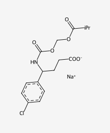 CC(C)C(=O)OCOC(=O)NC(CCC(=O)[O-])c1ccc(Cl)cc1.[Na+]